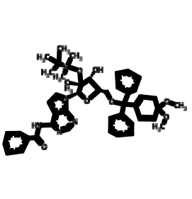 COC1(OC)C=CC(C(OC[C@H]2O[C@@H](n3ccc4c(NC(=O)c5ccccc5)ncnc43)[C@](C)(O[Si](C)(C)C(C)(C)C)[C@@H]2O)(c2ccccc2)c2ccccc2)=CC1